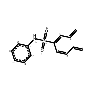 C=C/C=C\C(=C/C=C)S(=O)(=O)Nc1ccccc1